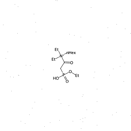 CCCCCC[N+](CC)(CC)C(=O)CP(=O)(O)OCC